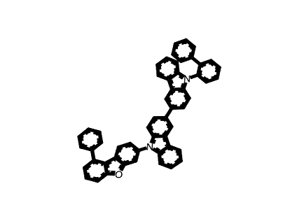 c1ccc(-c2ccccc2-n2c3ccccc3c3cc(-c4ccc5c(c4)c4ccccc4n5-c4ccc5c(c4)oc4cccc(-c6ccccc6)c45)ccc32)cc1